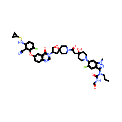 CCCN(C(=O)NC=O)c1nn(C)c2cc(N3CCC(O)(CC(=O)N4CCC5(CC4)CC(n4cnc6ccc(Oc7c(F)ccc(NSC8CC8)c7C#N)cc6c4=O)CO5)CC3)c(F)cc12